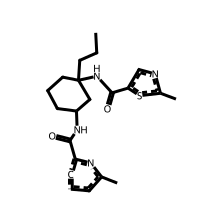 CCCC1(NC(=O)c2cnc(C)s2)CCCC(NC(=O)c2cccc(C)n2)C1